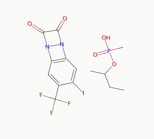 CCC(C)OP(C)(=O)O.O=c1c(=O)n2c3cc(C(F)(F)F)c(I)cc3n12